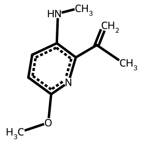 C=C(C)c1nc(OC)ccc1NC